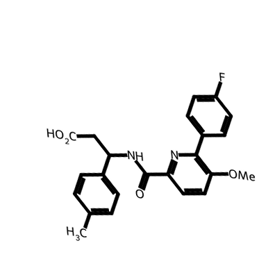 COc1ccc(C(=O)NC(CC(=O)O)c2ccc(C)cc2)nc1-c1ccc(F)cc1